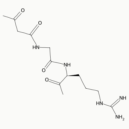 CC(=O)CC(=O)NCC(=O)N[C@@H](CCCNC(=N)N)C(C)=O